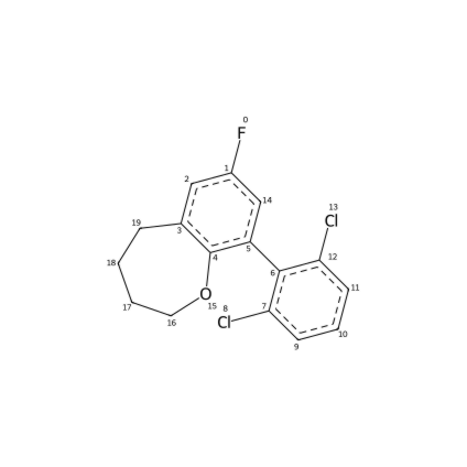 Fc1cc2c(c(-c3c(Cl)cccc3Cl)c1)OCCCC2